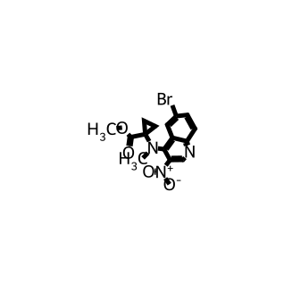 COC(=O)C1(N(C)c2c([N+](=O)[O-])cnc3ccc(Br)cc23)CC1